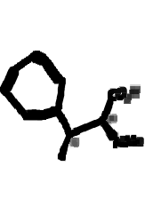 CN[C@H](C(=O)O)[C@@H](C)c1ccccc1